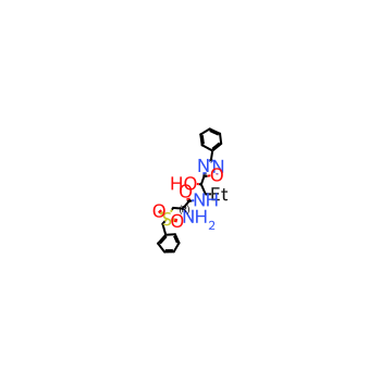 CCC(NC(=O)[C@@H](N)CS(=O)(=O)Cc1ccccc1)C(O)c1nc(-c2ccccc2)no1